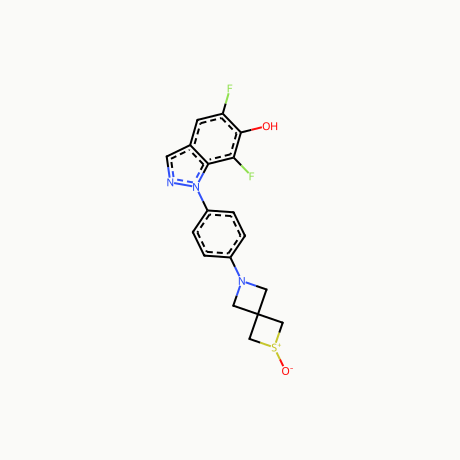 [O-][S+]1CC2(CN(c3ccc(-n4ncc5cc(F)c(O)c(F)c54)cc3)C2)C1